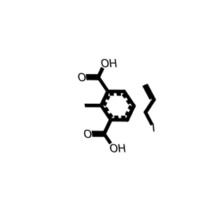 C=CCI.Cc1c(C(=O)O)cccc1C(=O)O